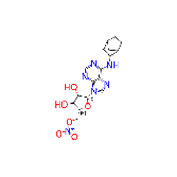 O=[N+]([O-])OC[C@H]1O[C@@H](n2cnc3c(NC4CC5CCC4C5)ncnc32)C(O)C1O